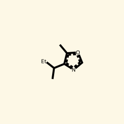 CCC(C)c1ncoc1C